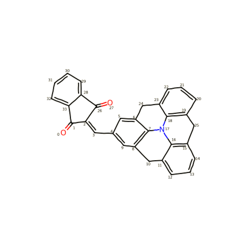 O=C1C(=Cc2cc3c4c(c2)Cc2cccc5c2N4c2c(cccc2C3)C5)C(=O)c2ccccc21